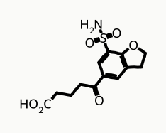 NS(=O)(=O)c1cc(C(=O)CCCC(=O)O)cc2c1OCC2